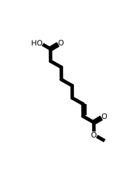 COC(=O)C=CCCCCCC(=O)O